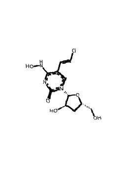 O=c1nc(NO)c(C=CCl)cn1[C@@H]1O[C@H](CO)C[C@H]1O